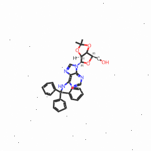 CC1(C)OC2[C@@H](CO)O[C@@H](n3cnc4c(NC(c5ccccc5)(c5ccccc5)c5ccccc5)ncnc43)[C@H]2O1